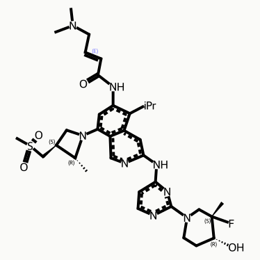 CC(C)c1c(NC(=O)/C=C/CN(C)C)cc(N2C[C@H](CS(C)(=O)=O)[C@H]2C)c2cnc(Nc3ccnc(N4CC[C@@H](O)[C@@](C)(F)C4)n3)cc12